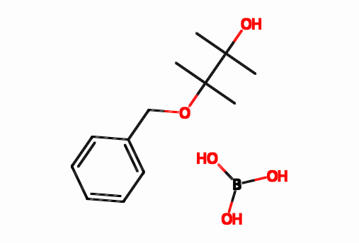 CC(C)(O)C(C)(C)OCc1ccccc1.OB(O)O